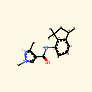 Cc1nn(C)cc1C(=O)Nc1cccc2c1C(C)(C)CC2C